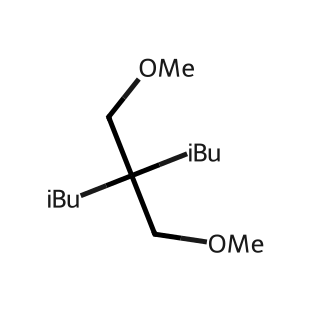 CCC(C)C(COC)(COC)C(C)CC